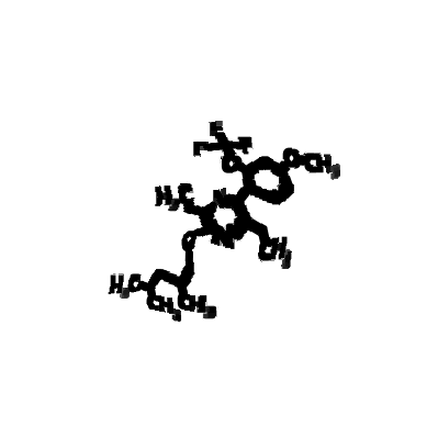 CCc1nc(-c2ccc(OC)cc2OC(F)(F)F)c(CC)nc1OCC(C)CC(C)C